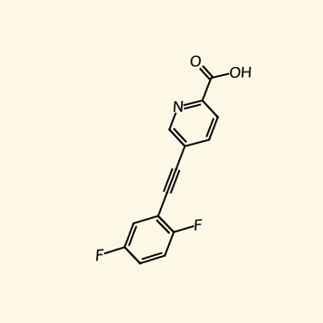 O=C(O)c1ccc(C#Cc2cc(F)ccc2F)cn1